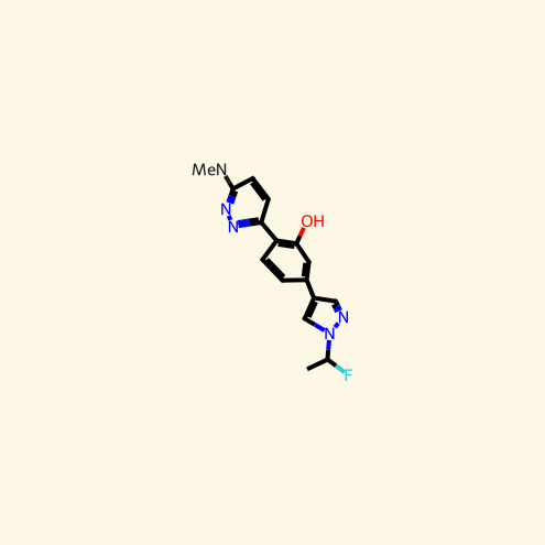 CNc1ccc(-c2ccc(-c3cnn(C(C)F)c3)cc2O)nn1